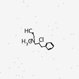 C#CCN(C)C[C@H](Cl)Cc1ccccc1